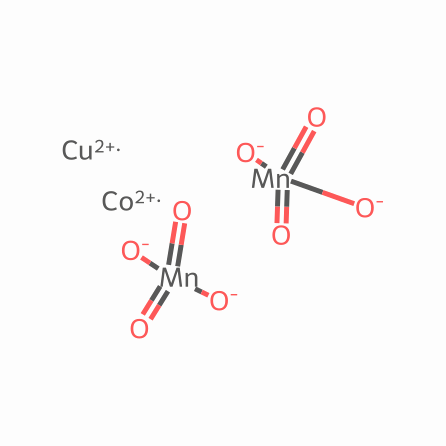 [Co+2].[Cu+2].[O]=[Mn](=[O])([O-])[O-].[O]=[Mn](=[O])([O-])[O-]